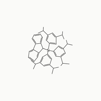 CC(C)c1cc(C(C)C)cc([Si]([C]2c3ccccc3-c3ccccc32)(c2cc(C(C)C)cc(C(C)C)c2)c2cc(C(C)C)cc(C(C)C)c2)c1